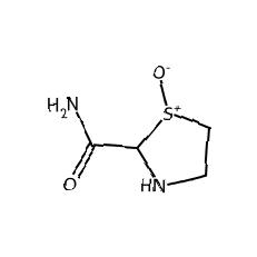 NC(=O)C1NCC[S+]1[O-]